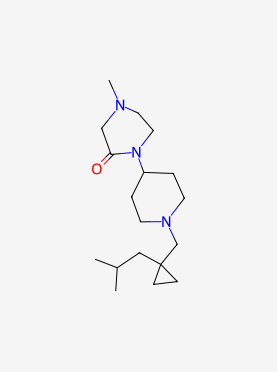 CC(C)CC1(CN2CCC(N3CCN(C)CC3=O)CC2)CC1